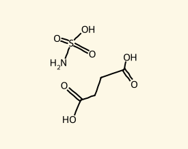 NS(=O)(=O)O.O=C(O)CCC(=O)O